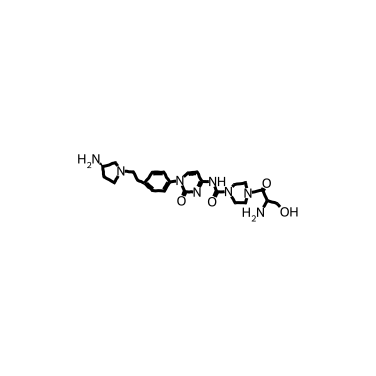 NC(CO)C(=O)N1CCN(C(=O)Nc2ccn(-c3ccc(CCN4CC[C@@H](N)C4)cc3)c(=O)n2)CC1